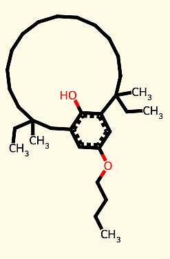 CCCCOc1cc2c(O)c(c1)C(C)(CC)CCCCCCCCCCCCC(C)(CC)C2